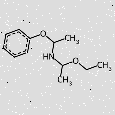 CCOC(C)NC(C)Oc1ccccc1